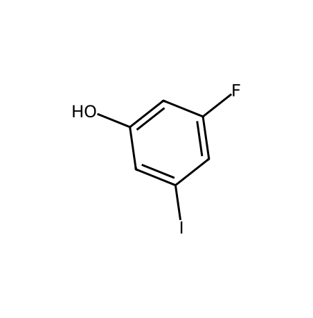 Oc1cc(F)cc(I)c1